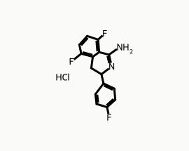 Cl.NC1=NC(c2ccc(F)cc2)Cc2c(F)ccc(F)c21